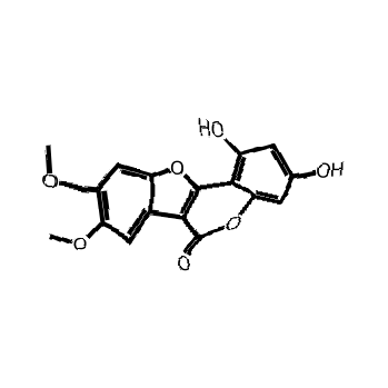 COc1cc2oc3c4c(O)cc(O)cc4oc(=O)c3c2cc1OC